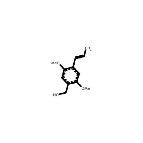 C/C=C/c1cc(OC)c(CO)cc1OC